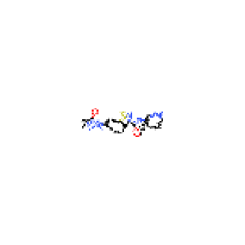 O=C(N[C@@H]1CN2CCC1CC2)c1nsc2cc(NC(=O)C3CC3)ccc12